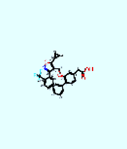 O=C(O)Cc1ccc(-c2ccccc2)c(OCc2c(-c3ccccc3C(F)(F)F)noc2C2CC2)c1